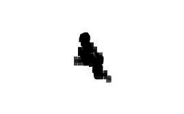 CN1CCN(c2ccnc3[nH]c(-c4n[nH]c5cc(F)c(-c6cncc(CN7CCCCC7)c6)cc45)nc23)CC1